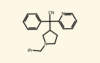 CC(C)CN1CCC(C(C#N)(c2ccccc2)c2ccccn2)C1